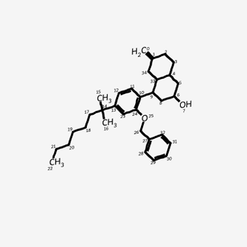 C=C1CCC2CC(O)CC(c3ccc(C(C)(C)CCCCCC)cc3OCc3ccccc3)C2C1